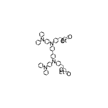 CCC1(CC(=O)Cc2ccc(N(c3ccc(-c4ccc(N(c5ccc(CC(=O)CC6(CC)COC6)cc5)c5ccc(N(c6ccccc6)c6ccccc6)cc5)cc4)cc3)c3ccc(N(c4ccccc4)c4ccccc4)cc3)cc2)COC1